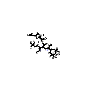 C=C\C(=C/C(=C(\C)NC(=O)c1nc(C#N)c[nH]1)C(=C/C)/CCC(C)(C)C)C1CC(C)(C)S(=O)(=O)C(C)(C)C1